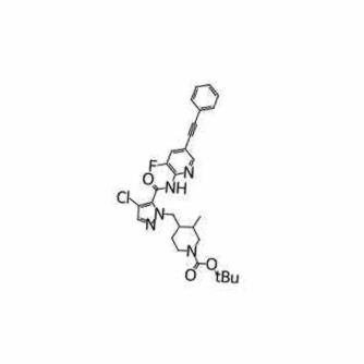 CC1CN(C(=O)OC(C)(C)C)CCC1Cn1ncc(Cl)c1C(=O)Nc1ncc(C#Cc2ccccc2)cc1F